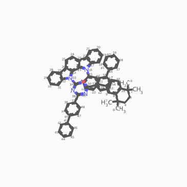 CC1(C)CCC(C)(C)c2cc(-c3cccc(-n4c5ccccc5c5ccc6c7ccccc7n(-c7nc(-c8ccc(-c9ccccc9)cc8)nc(-c8cccc(-c9ccccc9)c8)n7)c6c54)c3)ccc21